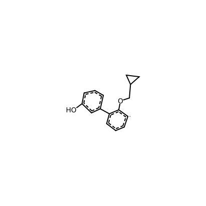 Oc1cccc(-c2ccc[c]c2OCC2CC2)c1